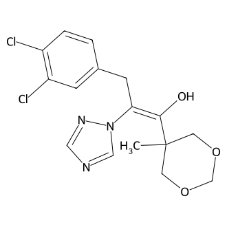 CC1(C(O)=C(Cc2ccc(Cl)c(Cl)c2)n2cncn2)COCOC1